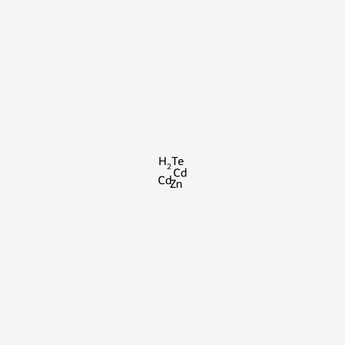 [Cd].[Cd].[TeH2].[Zn]